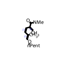 C\C=C(/C=C\C(C)=C\OCCCCC)C(=O)NC